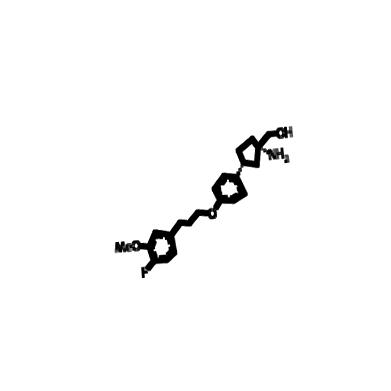 COc1cc(CCCOc2ccc([C@@H]3CC[C@@](N)(CO)C3)cc2)ccc1F